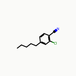 CCCCCc1ccc(C#N)c(Cl)c1